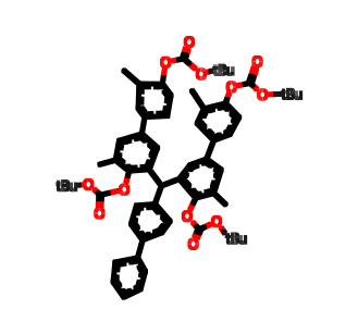 Cc1cc(-c2cc(C)c(OC(=O)OC(C)(C)C)c(C(c3ccc(-c4ccccc4)cc3)c3cc(-c4ccc(OC(=O)OC(C)(C)C)c(C)c4)cc(C)c3OC(=O)OC(C)(C)C)c2)ccc1OC(=O)OC(C)(C)C